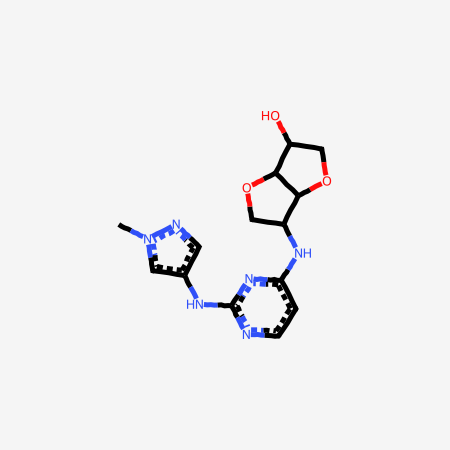 Cn1cc(Nc2nccc(NC3COC4C(O)COC34)n2)cn1